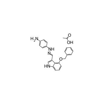 CC(=O)O.Nc1ccc(N/N=C/c2c[nH]c3cccc(OCc4ccccc4)c23)cc1